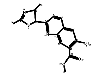 Bc1cc2ccc(C3SC(C)=NC3C)nc2cc1C(=O)OC